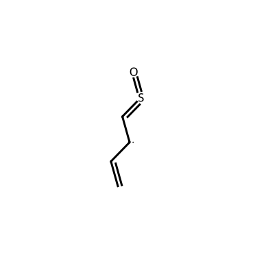 C=C[CH]C=S=O